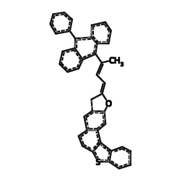 C/C(=C\C=C1/Cc2cc3ccc4sc5ccccc5c4c3cc2O1)c1c2ccccc2c(-c2ccccc2)c2ccccc12